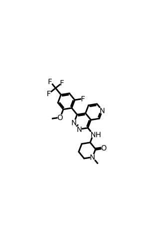 COc1cc(C(F)(F)F)cc(F)c1-c1nnc(NC2CCCN(C)C2=O)c2cnccc12